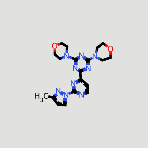 Cc1ccn(-c2nccc(-c3nc(N4CCOCC4)nc(N4CCOCC4)n3)n2)n1